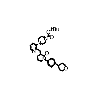 CC(C)(C)OC(=O)N1CCN(c2cccnc2CC2CCCN(c3ccc(C4CCOCC4)cc3)C2=O)CC1